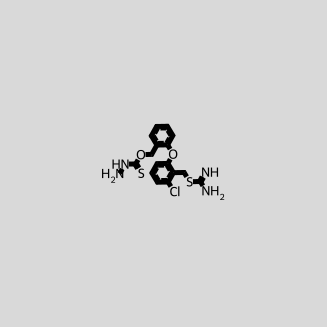 N=C(N)SCc1c(Cl)cccc1Oc1ccccc1COC(=S)NN